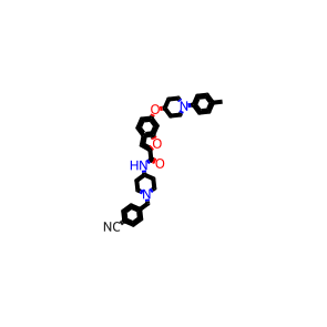 Cc1ccc(N2CCC(Oc3ccc4cc(C(=O)NC5CCN(Cc6ccc(C#N)cc6)CC5)oc4c3)CC2)cc1